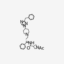 CC(=O)N1CC(C(=O)N[C@@H](CCN2CCC(n3cnc(Cc4ccccc4)n3)CC2)c2ccccc2)C1